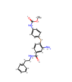 CC(C)(C)OC(=O)Nc1ccc(Sc2ccc(C(=O)NCCc3ccccc3)cc2N)cc1